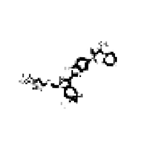 C[C@@H](C(=O)N(C)c1ccc2[nH]c(-c3nn(COCC[Si](C)(C)C)c4c3C[C@@H]3C[C@]3(C)C4)nc2c1)N1CCOCC1